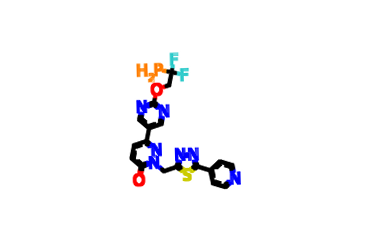 O=c1ccc(-c2cnc(OCC(F)(F)P)nc2)nn1Cc1nnc(-c2ccncc2)s1